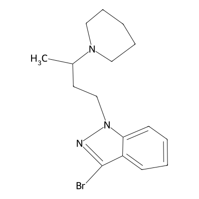 CC(CCn1nc(Br)c2ccccc21)N1CCCCC1